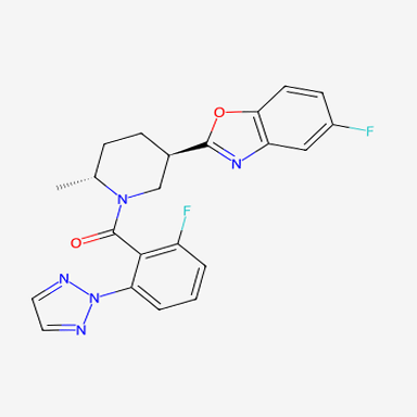 C[C@@H]1CC[C@@H](c2nc3cc(F)ccc3o2)CN1C(=O)c1c(F)cccc1-n1nccn1